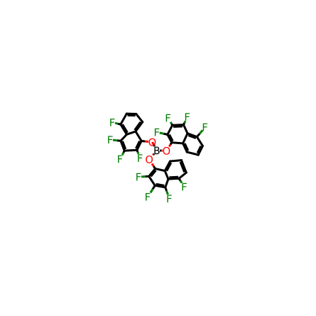 Fc1c(F)c(F)c2c(F)cccc2c1OB(Oc1c(F)c(F)c(F)c2c(F)cccc12)Oc1c(F)c(F)c(F)c2c(F)cccc12